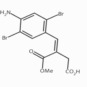 COC(=O)C(=Cc1cc(Br)c(N)cc1Br)CC(=O)O